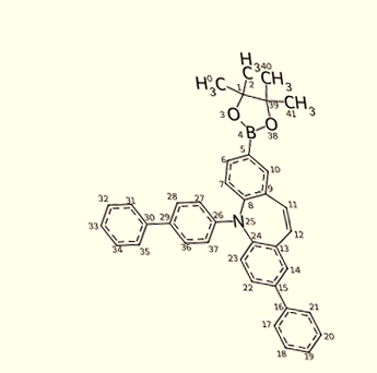 CC1(C)OB(c2ccc3c(c2)C=Cc2cc(-c4ccccc4)ccc2N3c2ccc(-c3ccccc3)cc2)OC1(C)C